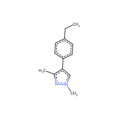 CCc1ccc(-c2cn(C)nc2C)cc1